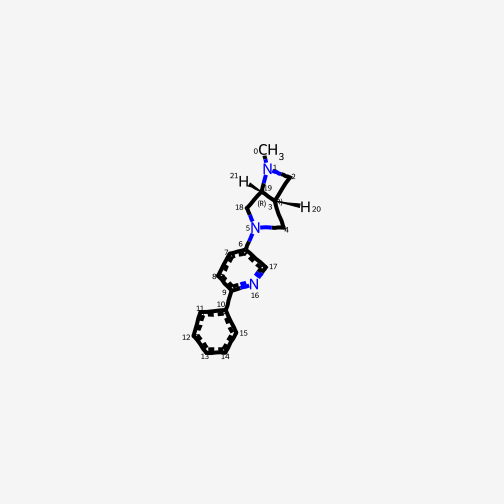 CN1C[C@@H]2CN(c3ccc(-c4ccccc4)nc3)C[C@@H]21